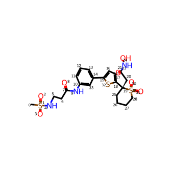 CS(=O)(=O)NCCC(=O)Nc1cccc(-c2ccc([C@@]3(CC(=O)NO)CCCCS3(=O)=O)s2)c1